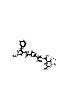 CC(C)[C@@H](NC(=O)O)C(=O)n1cc(-c2nc(C(=O)Nc3cn(C)nc3-c3ccccn3)cs2)cn1